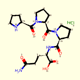 Cl.NC(=O)CC[C@H](NC(=O)[C@@H]1CCCN1C(=O)[C@@H]1CCCN1C(=O)[C@@H]1CCCN1)C(=O)O